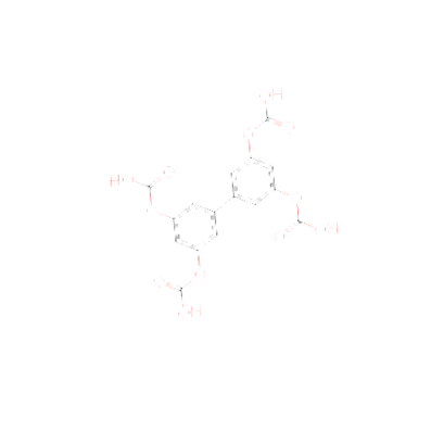 O=C(O)Oc1cc(OC(=O)O)cc(-c2cc(OC(=O)O)cc(OC(=O)O)c2)c1